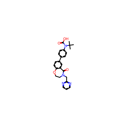 CC(C)(C)N(C(=O)O)c1ccc(-c2ccc3c(c2)C(=O)N(Cc2ncccn2)CCO3)cc1